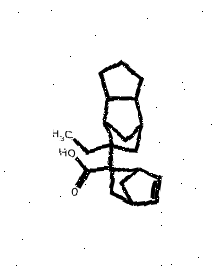 CCC1(C2(C(=O)O)CC3C=CC2C3)CC2CC1C1CCCC21